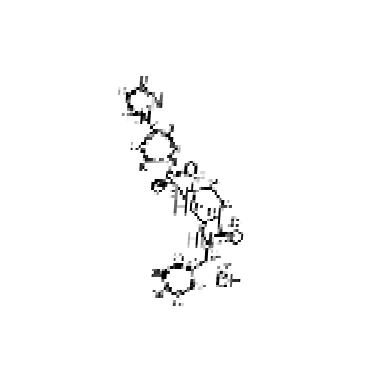 C[C@]1(NS(=O)(=O)c2ccc(-n3cccn3)cc2)CC[C@](C)(C(=O)N[C@H](CO)c2ccccc2)CC1